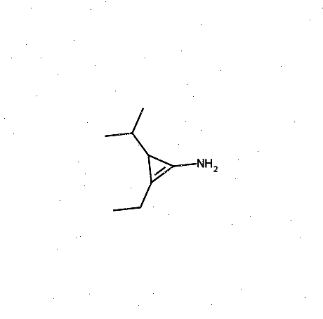 CCC1=C(N)C1C(C)C